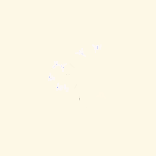 COc1cc(C)cc2cc(-c3cc(CN4CC(C)NCC4C)n4ncnc(N)c34)sc12